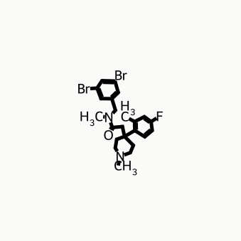 Cc1cc(F)ccc1C1(CC(=O)N(C)Cc2cc(Br)cc(Br)c2)CCN(C)CC1